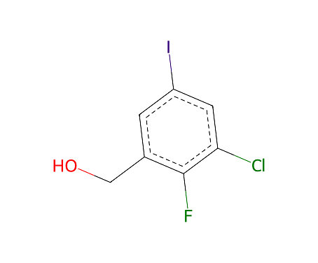 OCc1cc(I)cc(Cl)c1F